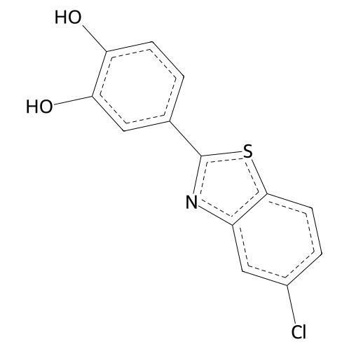 Oc1ccc(-c2nc3cc(Cl)ccc3s2)cc1O